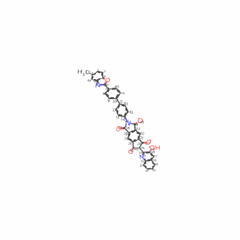 Cc1ccc2oc(-c3ccc(-c4ccc(N5C(=O)c6cc7c(cc6C5=O)C(=O)C(c5nc6ccccc6cc5O)C7=O)cc4)cc3)nc2c1